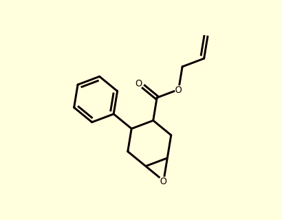 C=CCOC(=O)C1CC2OC2CC1c1ccccc1